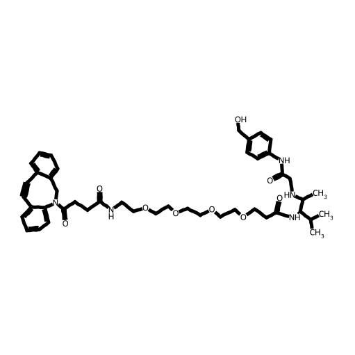 CC(C)[C@H](NC(=O)CCOCCOCCOCCOCCNC(=O)CCC(=O)N1Cc2ccccc2C#Cc2ccccc21)C(C)NCC(=O)Nc1ccc(CO)cc1